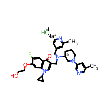 Cc1cc(CN(Cc2cn(C3CC3)c3cc(OCCO)c(F)cc3c2=O)[C@H]2CCCN(c3cncc(C(F)(F)F)c3)C2)ccn1.Cl.[H-].[Na+]